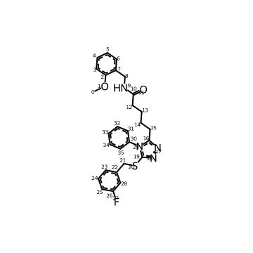 COc1ccccc1CNC(=O)CCCCc1nnc(SCc2cccc(F)c2)n1-c1ccccc1